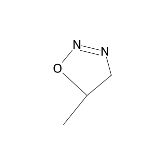 CC1CN=NO1